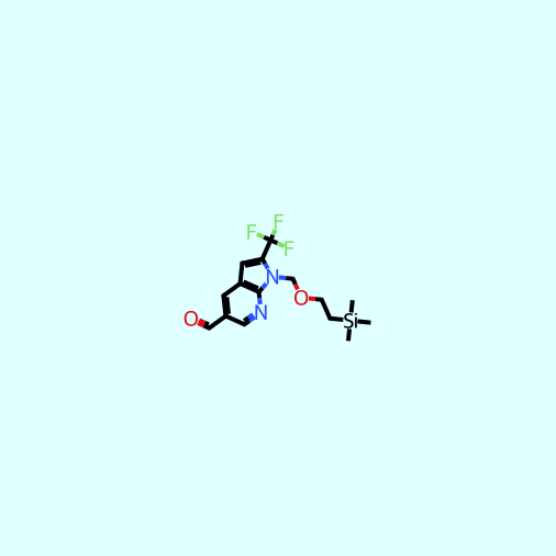 C[Si](C)(C)CCOCn1c(C(F)(F)F)cc2cc(C=O)cnc21